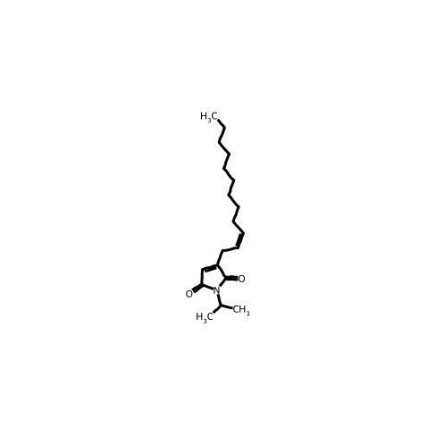 CCCCCCCCC/C=C\CC1=CC(=O)N(C(C)C)C1=O